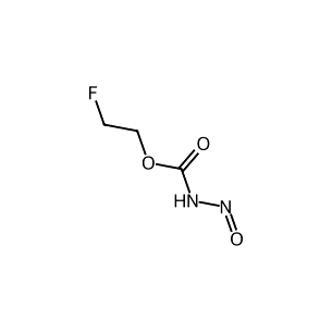 O=NNC(=O)OCCF